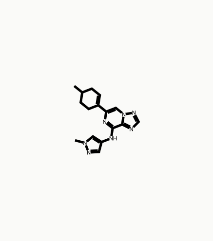 CC1CC=C(c2cn3ncnc3c(Nc3cnn(C)c3)n2)CC1